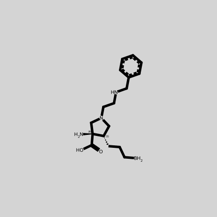 BCCC[C@H]1CN(CCNCc2ccccc2)C[C@@]1(N)C(=O)O